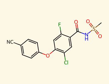 CS(=O)(=O)NC(=O)c1cc(Cl)c(Oc2ccc(C#N)cc2)cc1F